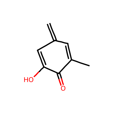 C=C1C=C(C)C(=O)C(O)=C1